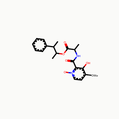 COc1cc[n+]([O-])c(C(=O)NC(C)C(=O)OC(C)C(C)c2ccccc2)c1O